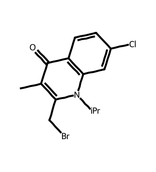 Cc1c(CBr)n(C(C)C)c2cc(Cl)ccc2c1=O